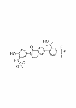 CC(C)(O)c1cc(C(F)(F)F)ccc1-c1ccc2c(c1)CCN(c1ccc(O)c(NS(C)(=O)=O)c1)C2=O